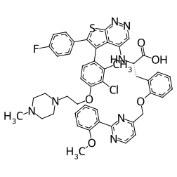 COc1ccccc1-c1nccc(COc2ccccc2C[C@H](Nc2cnnc3sc(-c4ccc(F)cc4)c(-c4ccc(OCCN5CCN(C)CC5)c(Cl)c4C)c23)C(=O)O)n1